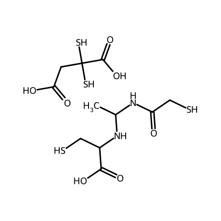 CC(NC(=O)CS)NC(CS)C(=O)O.O=C(O)CC(S)(S)C(=O)O